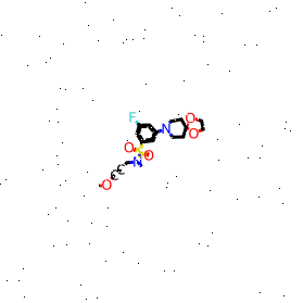 COCCCN(C)S(=O)(=O)c1cc(F)cc(N2CCC3(CC2)OCCO3)c1